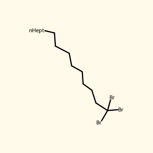 CCCCCCCCCCCCCCCC(Br)(Br)Br